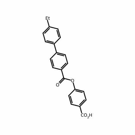 CCc1ccc(-c2ccc(C(=O)Oc3ccc(C(=O)O)cc3)cc2)cc1